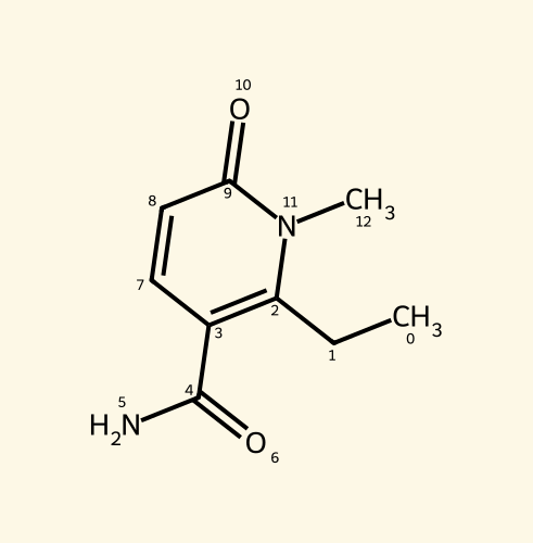 CCc1c(C(N)=O)ccc(=O)n1C